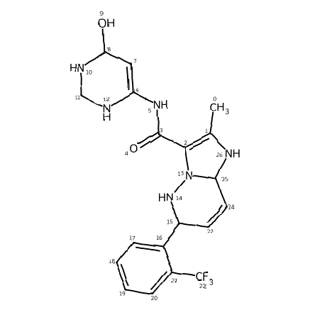 CC1=C(C(=O)NC2=CC(O)NCN2)N2NC(c3ccccc3C(F)(F)F)C=CC2N1